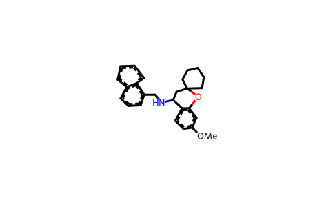 COc1ccc2c(c1)OC1(CCCCC1)CC2NCc1cccc2ccccc12